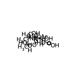 CC(=O)[C@@H](NC(=O)[C@@H]1C[C@@H](O)CN1C(=O)[C@@H](NC(=O)[C@@H](C)C[C@@H](O)[C@H](C)O)[C@@H](C)O)[C@H](O)[C@@H](O)c1ccc(O)cc1